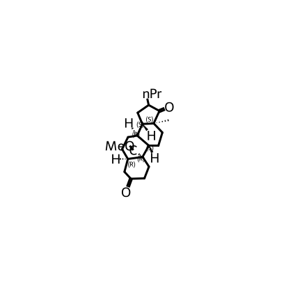 CCCC1C[C@H]2[C@@H]3CC[C@@H]4CC(=O)CC[C@]4(COC)[C@H]3CC[C@]2(C)C1=O